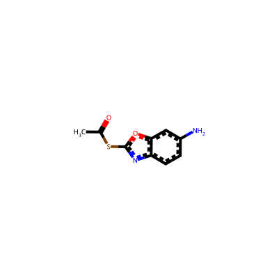 CC(=O)Sc1nc2ccc(N)cc2o1